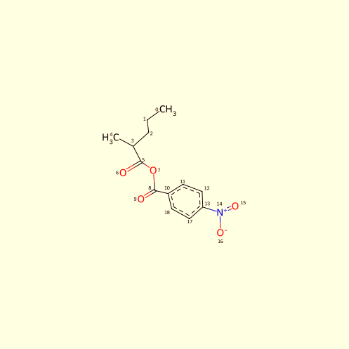 CCCC(C)C(=O)OC(=O)c1ccc([N+](=O)[O-])cc1